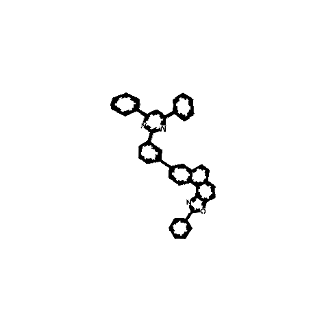 c1ccc(-c2cc(-c3ccccc3)nc(-c3cccc(-c4ccc5c(ccc6ccc7oc(-c8ccccc8)nc7c65)c4)c3)n2)cc1